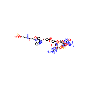 CP(O)(=S)OCCCCCCNC(=O)CCCCC(=O)N1Cc2ccccc2-c2nnn(CCOc3ccc(C(=O)Oc4ccc(CS[P@@]5(=O)N[C@H]6[C@@H](O)[C@H](n7cnc8c(N)ncnc87)O[C@@H]6CO[P@](=O)(S)N[C@H]6[C@@H](O)[C@H](n7cnc8c(=O)[nH]c(N)nc87)O[C@@H]6CO5)cc4)cc3)c2-c2ccccc21